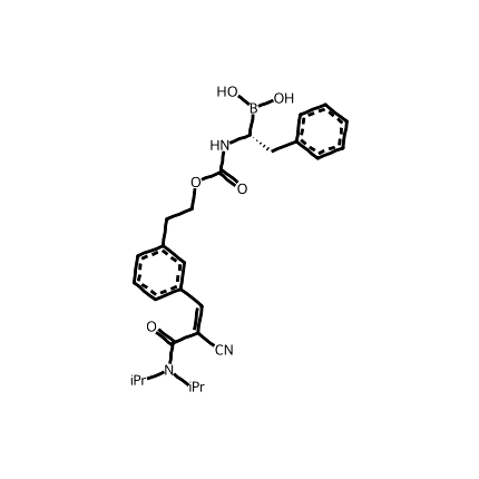 CC(C)N(C(=O)C(C#N)=Cc1cccc(CCOC(=O)N[C@@H](Cc2ccccc2)B(O)O)c1)C(C)C